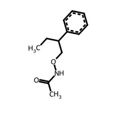 CCC(CONC(C)=O)c1ccccc1